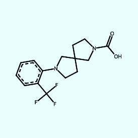 O=C(O)N1CCC2(CCN(c3ccccc3C(F)(F)F)C2)C1